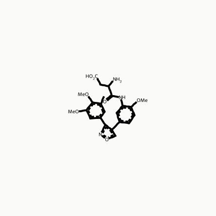 COc1ccc(-c2conc2-c2cc(C)c(OC)c(OC)c2)cc1NC(=O)C(N)CC(=O)O